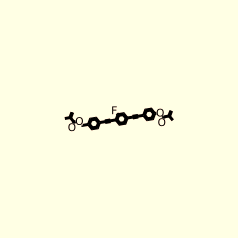 C=C(C)C(=O)OCc1ccc(C#Cc2ccc(C#Cc3ccc(OC(=O)C(=C)C)cc3)cc2F)cc1